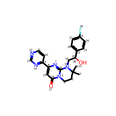 CC1(C)CCn2c(nc(-c3ccncn3)cc2=O)N1C[C@H](O)c1ccc(F)cc1